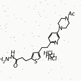 CC(=O)N1CCN(c2ccc(CCc3csc(CCC(=O)NN)c3)nc2)CC1.Cl.Cl.Cl